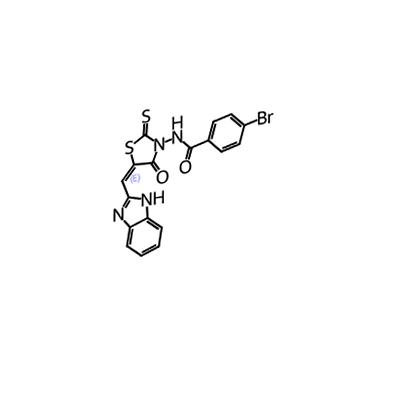 O=C(NN1C(=O)/C(=C\c2nc3ccccc3[nH]2)SC1=S)c1ccc(Br)cc1